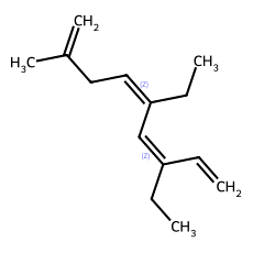 C=C/C(=C\C(=C/CC(=C)C)CC)CC